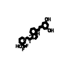 C[C@H](CN1CCCC(O)(C(F)F)C1)[C@H]1CC[C@H]2C(=CC=C3C[C@@H](O)C[C@H](O)C3)CCC[C@]12C